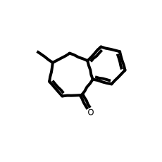 CC1C=CC(=O)c2ccccc2C1